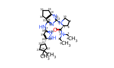 CCN(CC)C(=O)[C@@H]1CCCN1c1nc2c(c(Nc3cc([C@H]4CCC(C)(C)C4)[nH]n3)n1)CCC2